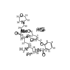 COCCCCCOc1ccccc1C(=O)NC[C@@H](C[C@H](N)[C@@H](O)C[C@@H](CC(=O)NCCN1CCOCC1)C(C)C)C(C)C.Cl.Cl